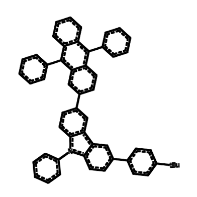 CC(C)(C)c1ccc(-c2ccc3c(c2)c2cc(-c4ccc5c(-c6ccccc6)c6ccccc6c(-c6ccccc6)c5c4)ccc2n3-c2ccccc2)cc1